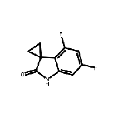 O=C1Nc2cc(F)cc(F)c2C12CC2